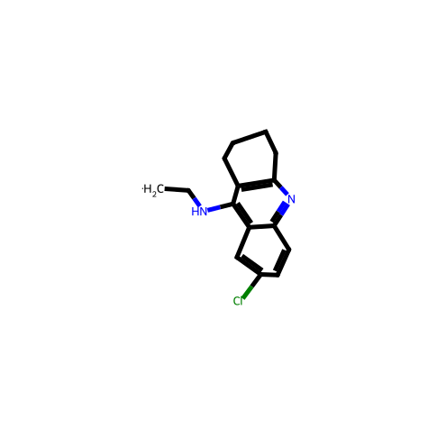 [CH2]CNc1c2c(nc3ccc(Cl)cc13)CCCC2